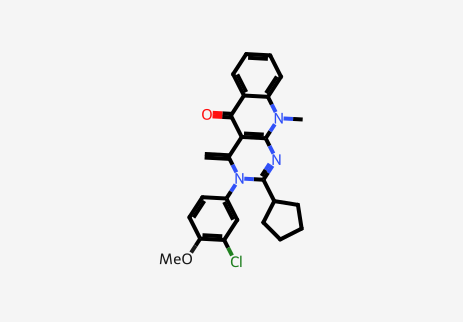 C=C1c2c(n(C)c3ccccc3c2=O)N=C(C2CCCC2)N1c1ccc(OC)c(Cl)c1